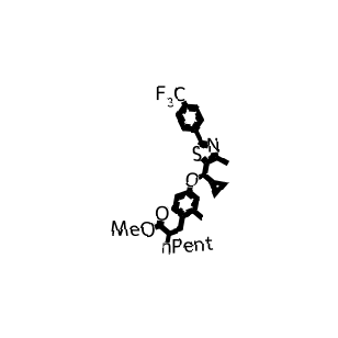 CCCCCC(Cc1ccc(OC(c2sc(-c3ccc(C(F)(F)F)cc3)nc2C)C2CC2)cc1C)C(=O)OC